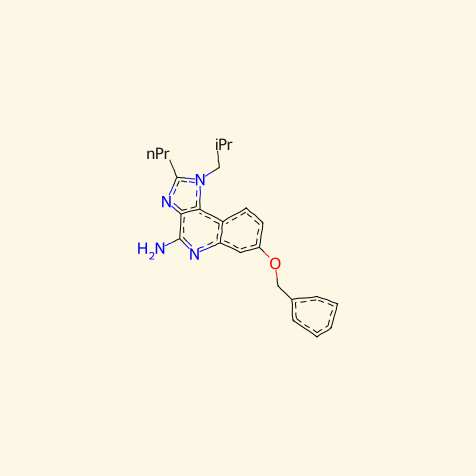 CCCc1nc2c(N)nc3cc(OCc4ccccc4)ccc3c2n1CC(C)C